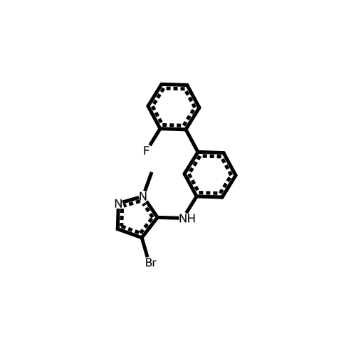 Cn1ncc(Br)c1Nc1cccc(-c2ccccc2F)c1